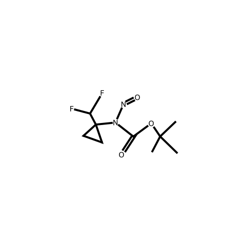 CC(C)(C)OC(=O)N(N=O)C1(C(F)F)CC1